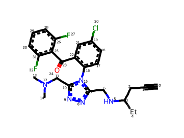 C#CCC(CC)NCc1nnc(CN(C)C)n1-c1ccc(Cl)cc1C(=O)c1c(F)cccc1F